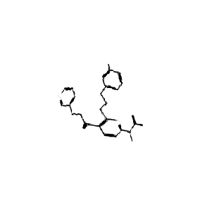 C=C(C)C(C)c1ccc(C(=O)CCc2cccnc2)c(CCCc2cccc(F)c2)n1